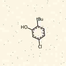 CC(C)(C)c1ccc(Cl)cc1O